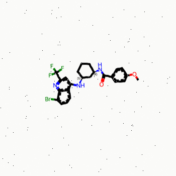 COc1ccc(C(=O)N[C@@H]2CCC[C@H](Nc3cc(C(F)(F)F)nc4c(Br)cccc34)C2)cc1